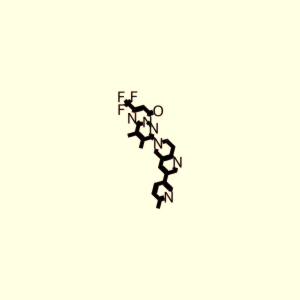 Cc1ccc(-c2cnc3c(c2)CN(c2nn4c(=O)cc(C(F)(F)F)nc4c(C)c2C)CC3)cn1